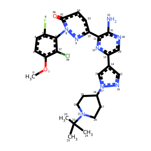 COc1ccc(F)c(-n2nc(-c3nc(-c4cnn(C5CCN(C(C)(C)C)CC5)c4)cnc3N)ccc2=O)c1Cl